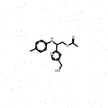 CC(=O)OCC(Nc1ccc(I)cc1)c1cc(CO)co1